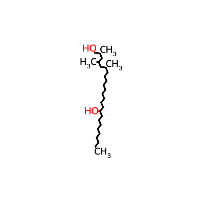 CCCCCCCCCC(O)CCCCCCCCCC(C)CC(C)CC(C)CO